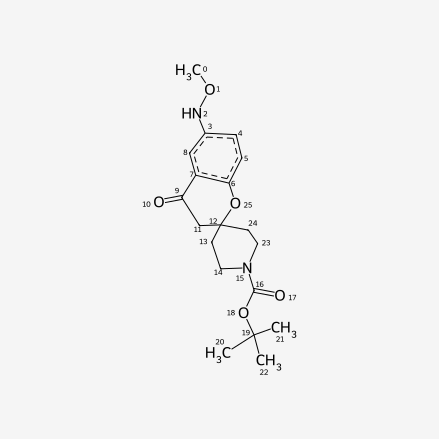 CONc1ccc2c(c1)C(=O)CC1(CCN(C(=O)OC(C)(C)C)CC1)O2